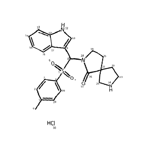 Cc1ccc(S(=O)(=O)C(c2c[nH]c3ccccc23)N2CCC3(CCNC3)C2=O)cc1.Cl